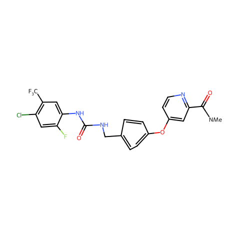 CNC(=O)c1cc(Oc2ccc(CNC(=O)Nc3cc(C(F)(F)F)c(Cl)cc3F)cc2)ccn1